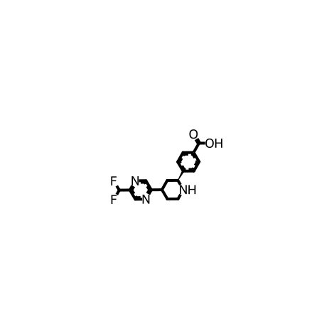 O=C(O)c1ccc([C@@H]2CC(c3cnc(C(F)F)cn3)CCN2)cc1